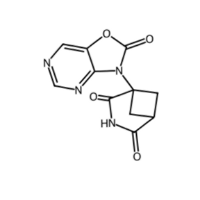 O=C1NC(=O)C2(n3c(=O)oc4cncnc43)CC1C2